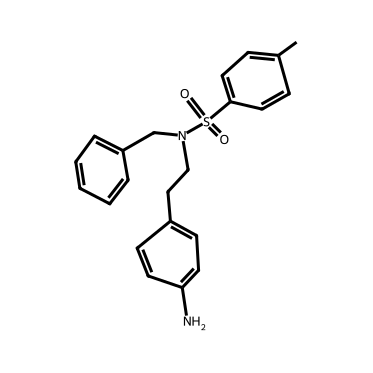 Cc1ccc(S(=O)(=O)N(CCc2ccc(N)cc2)Cc2ccccc2)cc1